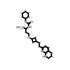 O=C(NC(CCOC1CC(CCc2ccc3c(n2)NCCC3)C1)C(=O)O)OC1CCCCC1